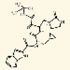 CC(C)(C)NC(=O)C(=O)C(C[C@@H]1CCNC1=O)NC(=O)[C@H](CC1CC1)NC(=O)c1cc2ccccc2[nH]1